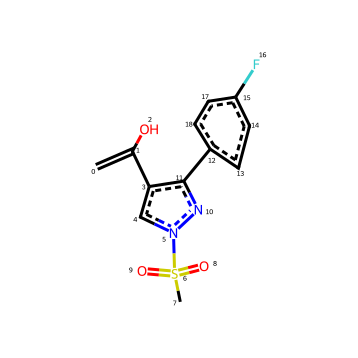 C=C(O)c1cn(S(C)(=O)=O)nc1-c1ccc(F)cc1